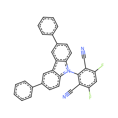 N#Cc1c(F)cc(F)c(C#N)c1-n1c2ccc(-c3ccccc3)cc2c2cc(-c3ccccc3)ccc21